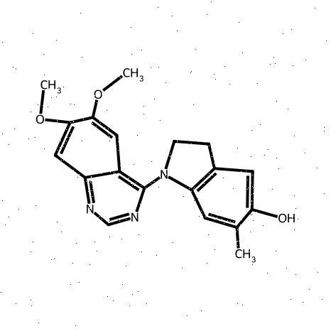 COc1cc2ncnc(N3CCc4cc(O)c(C)cc43)c2cc1OC